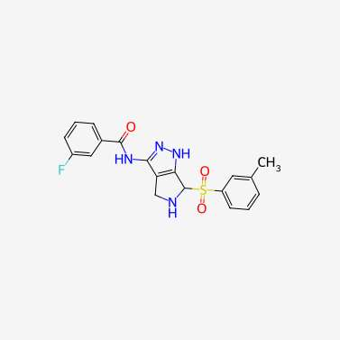 Cc1cccc(S(=O)(=O)C2NCc3c(NC(=O)c4cccc(F)c4)n[nH]c32)c1